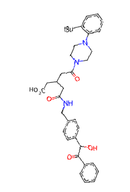 CC(C)(C)c1ccccc1N1CCN(C(=O)CC(CC(=O)O)CC(=O)NCc2ccc(C(O)C(=O)c3ccccc3)cc2)CC1